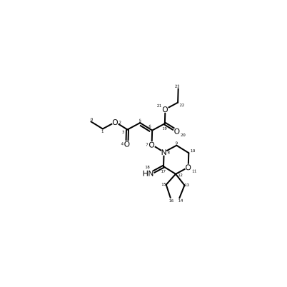 CCOC(=O)/C=C(\ON1CCOC(CC)(CC)C1=N)C(=O)OCC